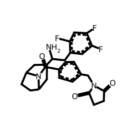 NC(Cc1cc(F)c(F)cc1F)C1CC2CCC(C1)N2C(=O)c1ccc(CN2C(=O)CCC2=O)cc1